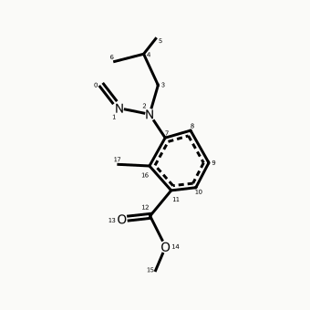 C=NN(CC(C)C)c1cccc(C(=O)OC)c1C